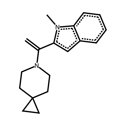 C=C(c1cc2ccccc2n1C)N1CCC2(CC1)CC2